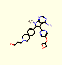 Cn1c(C2=CCC3(CC2)CCN(C=CC=O)CC3)c(-c2ncc(OC3COC3)cn2)c2c(N)ncnc21